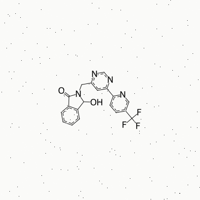 O=C1c2ccccc2C(O)N1Cc1cc(-c2ccc(C(F)(F)F)cn2)ncn1